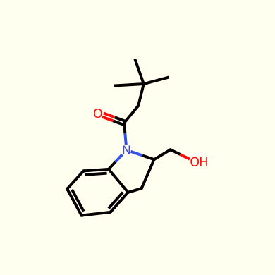 CC(C)(C)CC(=O)N1c2ccccc2CC1CO